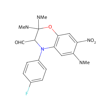 CNc1cc2c(cc1[N+](=O)[O-])OC(NC)(NC)C(C=O)N2c1ccc(F)cc1